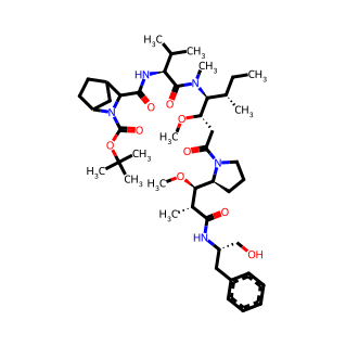 CC[C@H](C)[C@@H]([C@H](CC(=O)N1CCC[C@H]1[C@H](OC)[C@@H](C)C(=O)N[C@H](CO)Cc1ccccc1)OC)N(C)C(=O)[C@@H](NC(=O)C1C2CCC(C2)N1C(=O)OC(C)(C)C)C(C)C